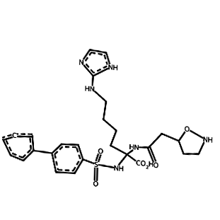 O=C(CC1CCNO1)NC(CCCCNc1ncc[nH]1)(NS(=O)(=O)c1ccc(-c2ccccc2)cc1)C(=O)O